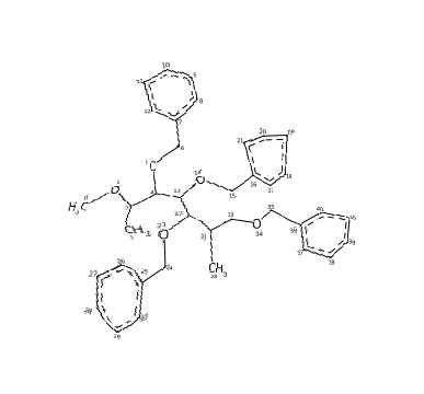 COC(C)C(OCc1ccccc1)C(OCc1ccccc1)C(OCc1ccccc1)C(C)COCc1ccccc1